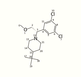 COC[C@H](c1cc(Cl)cc(Cl)c1)N1CCC(C(C)(C)C)CC1